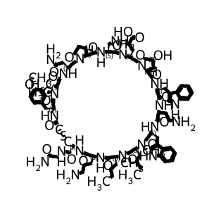 CCCC[C@H]1C(=O)N(C)[C@@H](CCCC)C(=O)N[C@@H](CCCN)C(=O)N[C@H](C(=O)NCC(N)=O)CSCC(=O)N[C@@H](Cc2ccc(OC)cc2)C(=O)N(C)[C@@H](C)C(=O)N[C@@H](CC(N)=O)C(=O)N2CCC[C@H]2C(=O)N[C@@H](CN)C(=O)N[C@@H](CCC(=O)O)C(=O)N2C[C@H](O)C[C@H]2C(=O)N[C@@H](Cc2c[nH]c3ccccc23)C(=O)NC(CCN)C(=O)N[C@@H](Cc2c[nH]c3ccccc23)C(=O)N1C